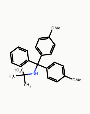 COc1ccc(C(NC(C)(C)C(=O)O)(c2ccccc2)c2ccc(OC)cc2)cc1